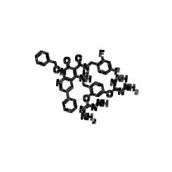 N=NC(=NN)Oc1ccc(CNc2c(C(=O)NCc3ccc(F)cc3F)c(=O)n(OCc3ccccc3)c3ncc(-c4ccccc4)cc23)c(OC(N=N)=NN)c1